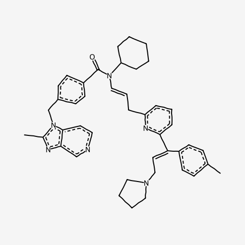 Cc1ccc(C(=CCN2CCCC2)c2cccc(CC=CN(C(=O)c3ccc(Cn4c(C)nc5cnccc54)cc3)C3CCCCC3)n2)cc1